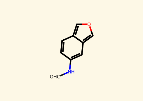 O=CNc1ccc2cocc2c1